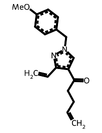 C=CCCC(=O)c1cn(Cc2ccc(OC)cc2)nc1C=C